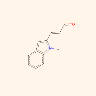 Cn1c(/C=C/C=O)cc2ccccc21